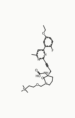 CCOc1ccc(F)c(-c2cc(C)nc(C#CC[C@@]3(NC(=O)O)CCCN(COCC[Si](C)(C)C)C3=O)n2)c1